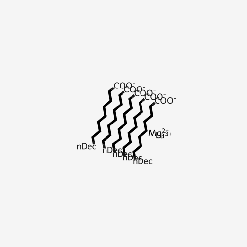 CCCCCCCCCCCCCCCCCC(=O)[O-].CCCCCCCCCCCCCCCCCC(=O)[O-].CCCCCCCCCCCCCCCCCC(=O)[O-].CCCCCCCCCCCCCCCCCC(=O)[O-].CCCCCCCCCCCCCCCCCC(=O)[O-].[La+3].[Mg+2]